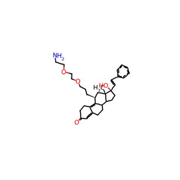 C[C@]12C[C@H](CCCOCCOCCN)C3=C4CCC(=O)C=C4CCC3C1CC[C@@]2(O)/C=C/c1ccccc1